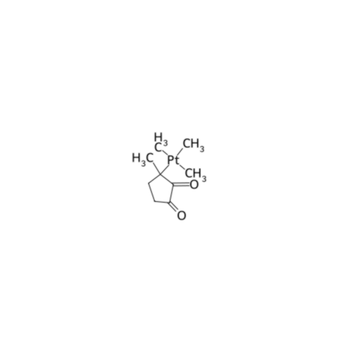 C[C]1([Pt]([CH3])([CH3])[CH3])CCC(=O)C1=O